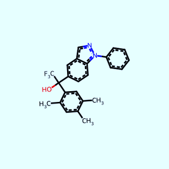 Cc1cc(C)c(C(O)(c2ccc3c(cnn3-c3ccccc3)c2)C(F)(F)F)cc1C